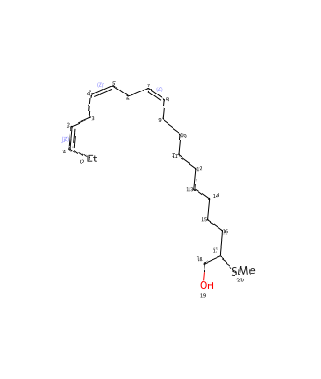 CC/C=C\C/C=C\C/C=C\CCCCCCCCC(CO)SC